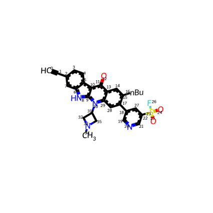 C#Cc1ccc2c(c1)[nH]c1c2c(=O)c2cc(CCCC)c(-c3cncc(S(=O)(=O)F)c3)cc2n1C1CN(C)C1